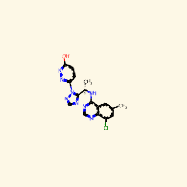 C[C@H](Nc1ncnc2c(Cl)cc(C(F)(F)F)cc12)c1ncnn1-c1ccc(O)nn1